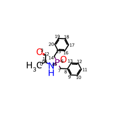 C[C@@H]([C]=O)NP(=O)(Cc1ccccc1)Cc1ccccc1